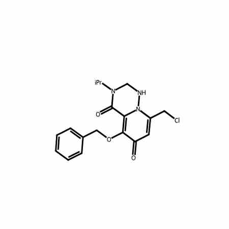 CC(C)N1CNn2c(CCl)cc(=O)c(OCc3ccccc3)c2C1=O